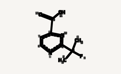 CC(C)(F)c1nccc(C(=O)O)n1